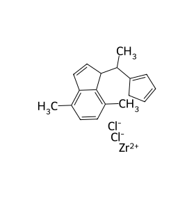 Cc1ccc(C)c2c1C=CC2C(C)C1=CC=CC1.[Cl-].[Cl-].[Zr+2]